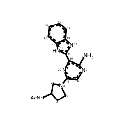 CC(=O)NC1CCN(c2cnc(N)c(-c3nc4ccccc4[nH]3)n2)C1